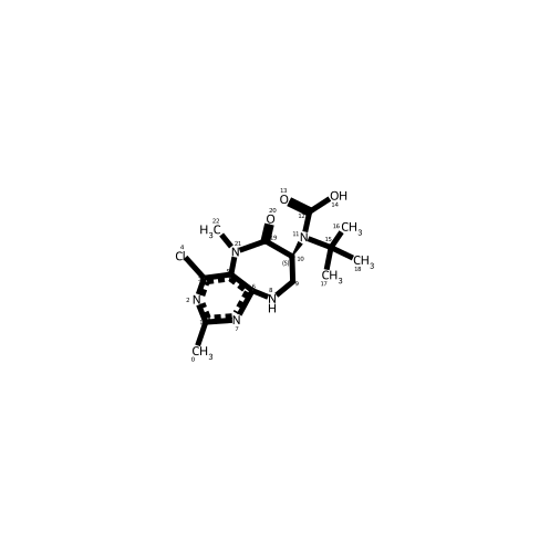 Cc1nc(Cl)c2c(n1)NC[C@H](N(C(=O)O)C(C)(C)C)C(=O)N2C